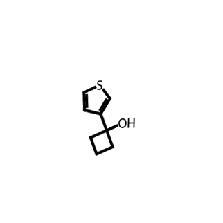 OC1(c2ccsc2)CCC1